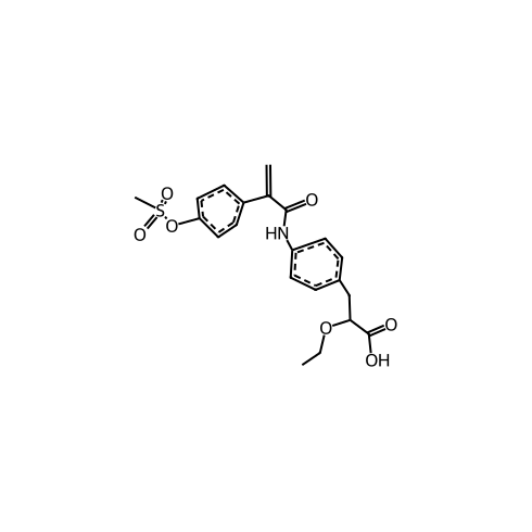 C=C(C(=O)Nc1ccc(CC(OCC)C(=O)O)cc1)c1ccc(OS(C)(=O)=O)cc1